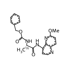 COc1ccc2nccc(NC(=O)[C@H](C)NC(=O)OCc3ccccc3)c2n1